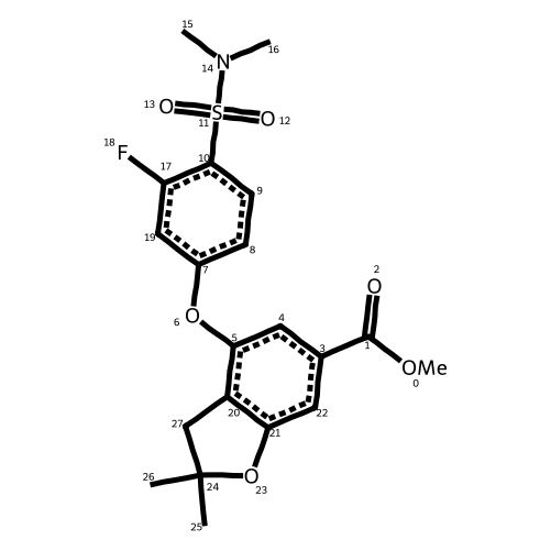 COC(=O)c1cc(Oc2ccc(S(=O)(=O)N(C)C)c(F)c2)c2c(c1)OC(C)(C)C2